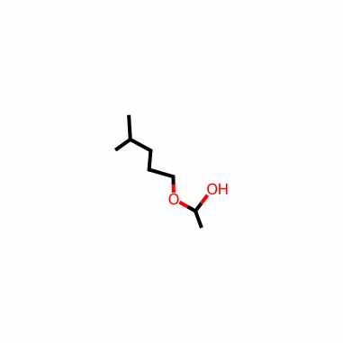 CC(C)CCCOC(C)O